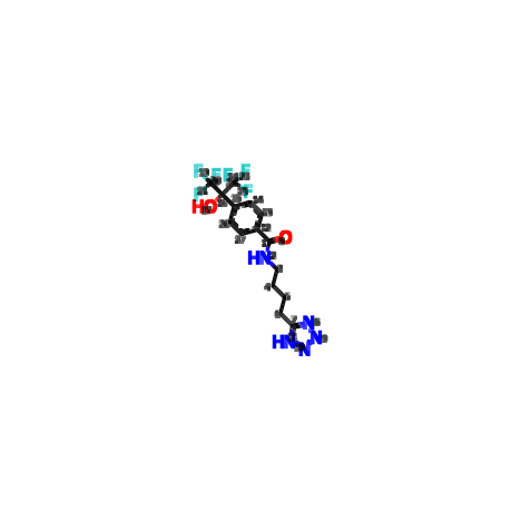 O=C(NCCCCc1nnn[nH]1)c1ccc(C(O)(C(F)(F)F)C(F)(F)F)cc1